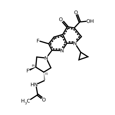 CC(=O)NC[C@H]1CN(c2nc3c(cc2F)c(=O)c(C(=O)O)cn3C2CC2)C[C@@H]1F